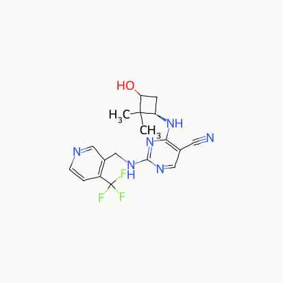 CC1(C)C(O)C[C@H]1Nc1nc(NCc2cnccc2C(F)(F)F)ncc1C#N